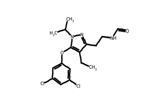 CCc1c(CCNC=O)nn(C(C)C)c1Oc1cc(Cl)cc(Cl)c1